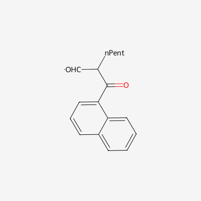 CCCCCC([C]=O)C(=O)c1cccc2ccccc12